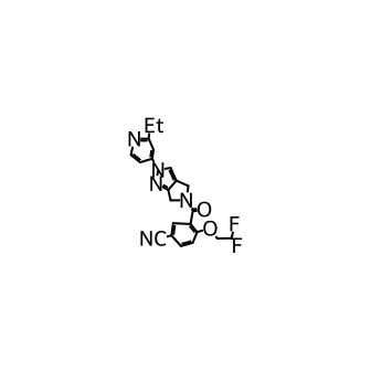 CCc1cc(-n2cc3c(n2)CN(C(=O)c2cc(C#N)ccc2OCC(F)F)C3)ccn1